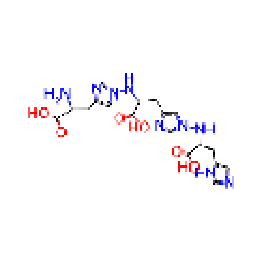 N[C@@H](Cc1cn(N[C@@H](Cc2cn(N[C@@H](Cc3cnc[nH]3)C(=O)O)cn2)C(=O)O)cn1)C(=O)O